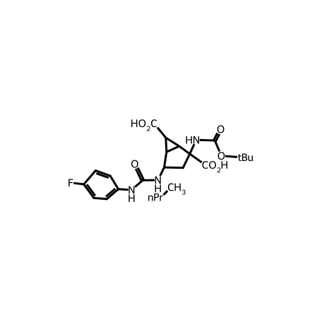 CC(C)(C)OC(=O)NC1(C(=O)O)CC(NC(=O)Nc2ccc(F)cc2)C2C(C(=O)O)C21.CCCC